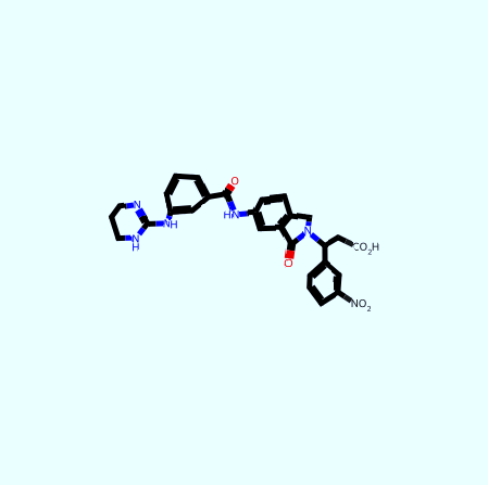 O=C(O)CC(c1cccc([N+](=O)[O-])c1)N1Cc2ccc(NC(=O)c3cccc(NC4=NCCCN4)c3)cc2C1=O